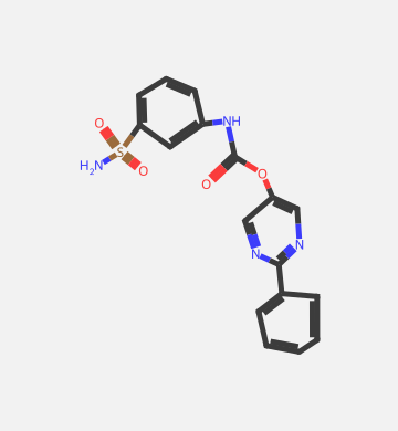 NS(=O)(=O)c1cccc(NC(=O)Oc2cnc(-c3ccccc3)nc2)c1